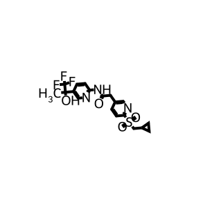 CC(O)(c1ccc(NC(=O)Cc2ccc(S(=O)(=O)CC3CC3)nc2)nc1)C(F)(F)F